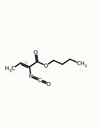 C/C=C(\N=C=O)C(=O)OCCCC